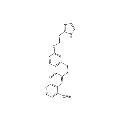 COc1ccccc1C=C1CCc2cc(OCCc3ncc[nH]3)ccc2C1=O